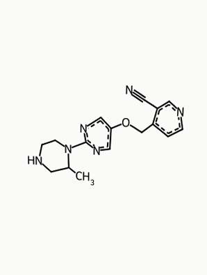 CC1CNCCN1c1ncc(OCc2ccncc2C#N)cn1